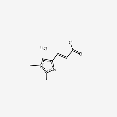 Cc1nc(/C=C/C(=O)Cl)cn1C.Cl